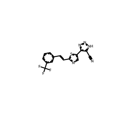 N#Cc1[nH]nnc1-c1cnc(/C=C/c2cccc(C(F)(F)F)c2)s1